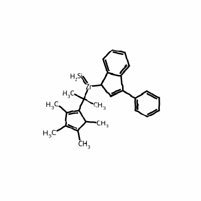 CC1=C(C)C(C)C([C](C)(C)[Zr](=[SiH2])[CH]2C=C(c3ccccc3)c3ccccc32)=C1C